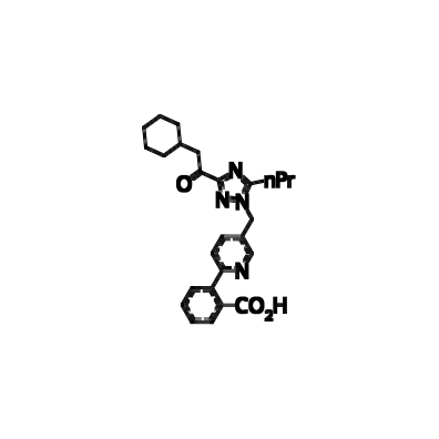 CCCc1nc(C(=O)CC2CCCCC2)nn1Cc1ccc(-c2ccccc2C(=O)O)nc1